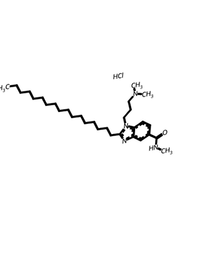 CCCCCCCCCCCCCCCCCc1nc2cc(C(=O)NC)ccc2n1CCCN(C)C.Cl